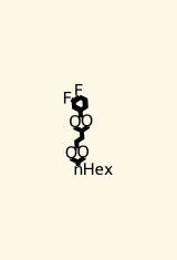 CCCCCCC1COC(CCC2COC(c3ccc(F)c(F)c3)OC2)OC1